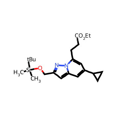 CCOC(=O)CCc1cc(C2CC2)cc2cc(CO[Si](C)(C)C(C)(C)C)nn12